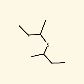 C[CH]C(C)SC(C)[CH]C